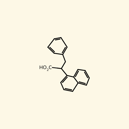 O=C(O)C(Cc1ccccc1)c1cccc2ccccc12